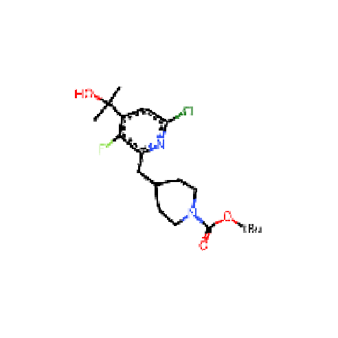 CC(C)(C)OC(=O)N1CCC(Cc2nc(Cl)cc(C(C)(C)O)c2F)CC1